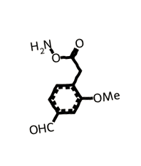 COc1cc(C=O)ccc1CC(=O)ON